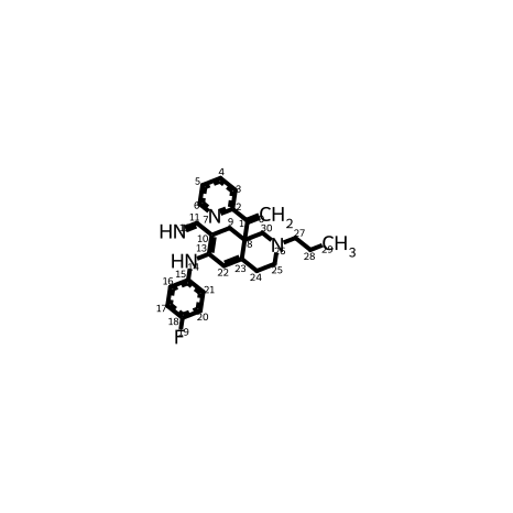 C=C(c1ccccn1)C12CC(C=N)=C(Nc3ccc(F)cc3)C=C1CCN(CCC)C2